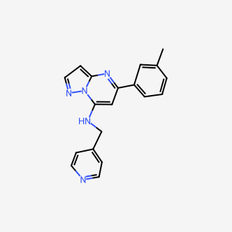 Cc1cccc(-c2cc(NCc3ccncc3)n3nccc3n2)c1